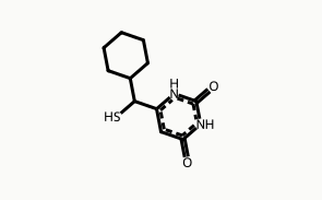 O=c1cc(C(S)C2CCCCC2)[nH]c(=O)[nH]1